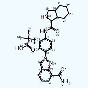 NC(=O)c1cccc2cn(-c3ccc(NC(=O)C4NCC5CCCCC54)cc3)nc12.O=C(O)C(F)(F)F